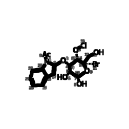 CC(=O)n1c(O[C@@H]2[C@@H](O)[C@H](O)O[C@](Br)(CO)[C@H]2OCl)cc2ccccc21